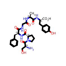 C[C@H](NC(=O)CNC(=O)[C@H](Cc1ccccc1)NC(=O)[C@@H]1CCCN1C(=O)[C@@H](N)CO)C(=O)N[C@@H](Cc1ccc(O)cc1)C(=O)O